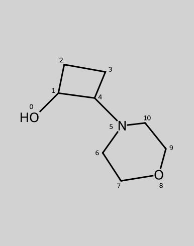 OC1CCC1N1CCOCC1